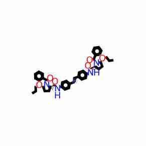 CCCOc1ccccc1C(=O)N1CCC[C@H]1C(=O)Nc1ccc(/C=C/c2ccc(NC(=O)[C@@H]3CCCN3C(=O)c3ccccc3OCCC)cc2)cc1